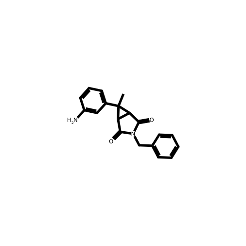 CC1(c2cccc(N)c2)C2C(=O)N(Cc3ccccc3)C(=O)C21